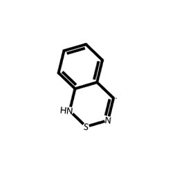 [C]1=NSNc2ccccc21